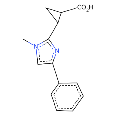 Cn1cc(-c2ccccc2)nc1C1CC1C(=O)O